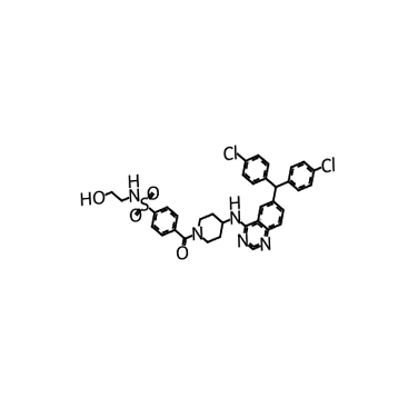 O=C(c1ccc(S(=O)(=O)NCCO)cc1)N1CCC(Nc2ncnc3ccc(C(c4ccc(Cl)cc4)c4ccc(Cl)cc4)cc23)CC1